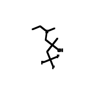 CCN(C)CC(C)(O)CC(F)(F)F